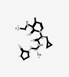 Cc1ccn([C@@H](CC2CC2)C(=O)N[C@H](C#N)C[C@@H]2CCCC2=O)c(=O)c1NCC(F)(F)F